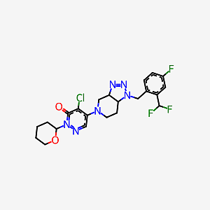 O=c1c(Cl)c(N2CCC3C(C2)N=NN3Cc2ccc(F)cc2C(F)F)cnn1C1CCCCO1